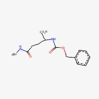 CC(C)(C)NC(=O)CCC(NC(=O)OCc1ccccc1)C(=O)O